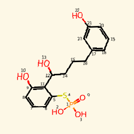 O=P(O)(O)Sc1cccc(O)c1C(O)CCCc1cccc(O)c1